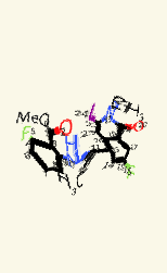 COC(=O)c1c(F)cccc1N[C@H](C)c1cc(F)cc2c(=O)n(C)c(I)cc12